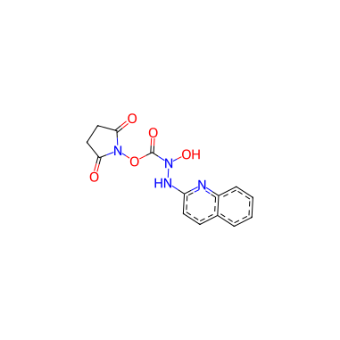 O=C(ON1C(=O)CCC1=O)N(O)Nc1ccc2ccccc2n1